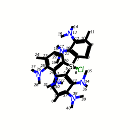 Cc1ccc([Si](Cl)(c2ccc(C)c(N(C)C)c2N(C)C)c2ccc(C)c(N(C)C)c2N(C)C)c(N(C)C)c1N(C)C